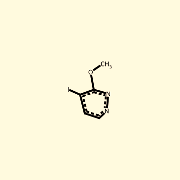 COc1nnccc1I